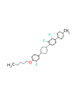 CCCCCOc1ccc(C2CCC(c3ccc(-c4ccc(C)cc4)c(F)c3F)CC2)cc1F